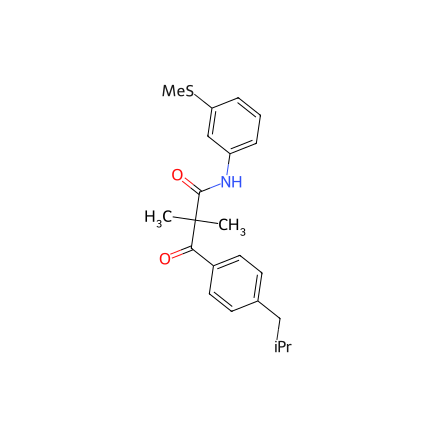 CSc1cccc(NC(=O)C(C)(C)C(=O)c2ccc(CC(C)C)cc2)c1